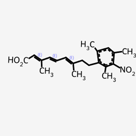 CC(/C=C/C=C(\C)CCc1c(C)cc(C)c([N+](=O)[O-])c1C)=C\C(=O)O